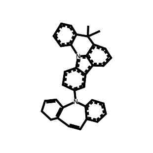 CC1(C)c2ccccc2-n2c3ccc(N4C5=C(C=Cc6ccccc64)CCC=C5)cc3c3cccc1c32